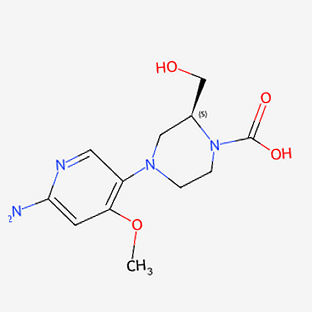 COc1cc(N)ncc1N1CCN(C(=O)O)[C@H](CO)C1